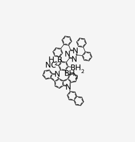 Bc1c(B)c(-n2c3ccccc3c3ccc4c(c5ccccc5n4-c4ccc5ccccc5c4)c32)c(C#N)c(B)c1-c1nc(-c2ccccc2-c2ccccc2)nc(-c2ccccc2-c2ccccc2)n1